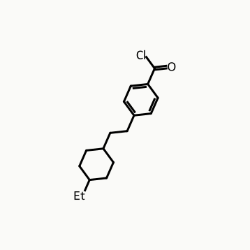 CCC1CCC(CCc2ccc(C(=O)Cl)cc2)CC1